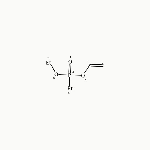 C=COP(=O)(CC)OCC